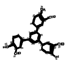 O=Cc1cc(-c2cc(-c3ccc(O)c(C=O)c3)cc(-c3ccc(O)c(C=O)c3)c2)ccc1O